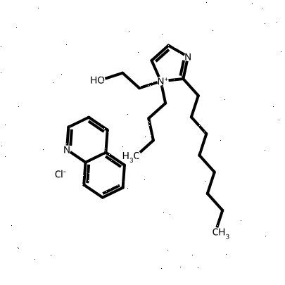 CCCCCCCCC1=NC=C[N+]1(CCO)CCCC.[Cl-].c1ccc2ncccc2c1